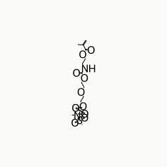 C=C(C)C(=O)OCCNC(=O)OCCOCCOS(=O)(=O)N(C)S(C)(=O)=O